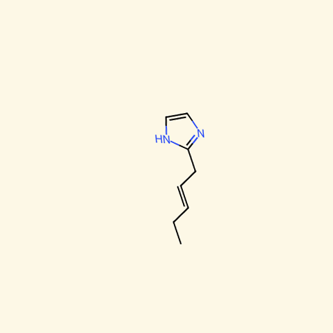 CCC=CCc1ncc[nH]1